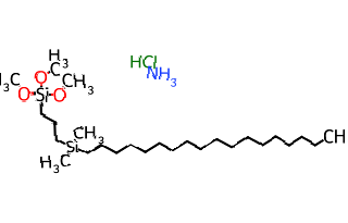 CCCCCCCCCCCCCCCCCC[Si](C)(C)CCC[Si](OC)(OC)OC.Cl.N